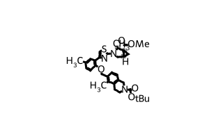 COC(=O)[C@]12C[C@H]1CN(c1nc(-c3cc(C)ccc3OCc3ccc4c(c3C)CCN(C(=O)OC(C)(C)C)C4)cs1)[C@@H]2C